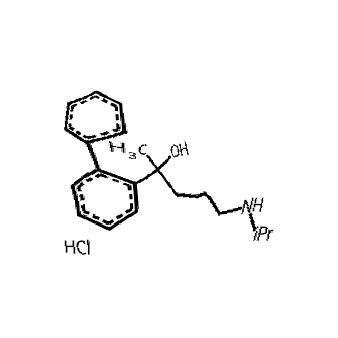 CC(C)NCCCC(C)(O)c1ccccc1-c1ccccc1.Cl